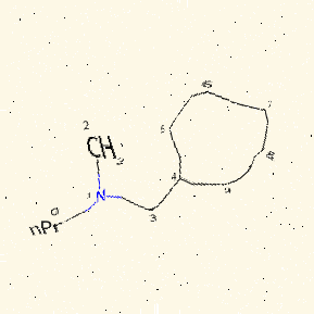 CCCN(C)CC1CCCCC1